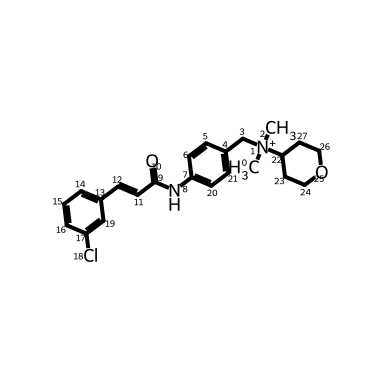 C[N+](C)(Cc1ccc(NC(=O)/C=C/c2cccc(Cl)c2)cc1)C1CCOCC1